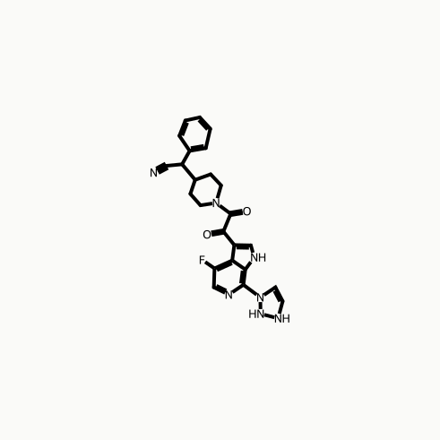 N#CC(c1ccccc1)C1CCN(C(=O)C(=O)c2c[nH]c3c(N4C=CNN4)ncc(F)c23)CC1